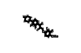 COc1ccc(OCC(F)C(F)c2ccc(C3CCC(C)CC3)c(F)c2F)c(F)c1F